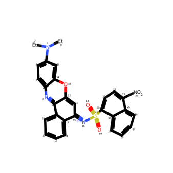 CCN(CC)c1ccc2nc3c4ccccc4/c(=N/S(=O)(=O)c4ccc([N+](=O)[O-])c5ccccc45)cc-3oc2c1